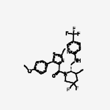 COc1ccc(-c2sc(C)nc2C(=O)N2CC(F)(F)CC(C)[C@H]2CNc2ccc(C(F)(F)F)cn2)cc1